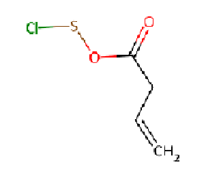 C=CCC(=O)OSCl